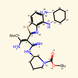 CO/C(N)=C(/C(=N)N[C@@H]1CCCN(C(=O)OC(C)(C)C)C1)c1nc2c(N[C@H]3CCCC[C@H]3N)cccc2s1